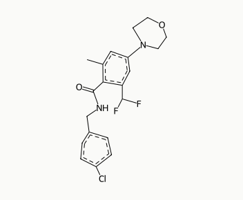 Cc1cc(N2CCOCC2)cc(C(F)F)c1C(=O)NCc1ccc(Cl)cc1